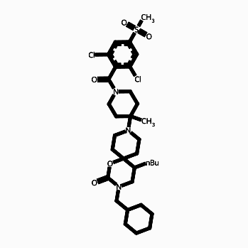 CCCCC1CN(CC2CCCCC2)C(=O)OC12CCN(C1(C)CCN(C(=O)c3c(Cl)cc(S(C)(=O)=O)cc3Cl)CC1)CC2